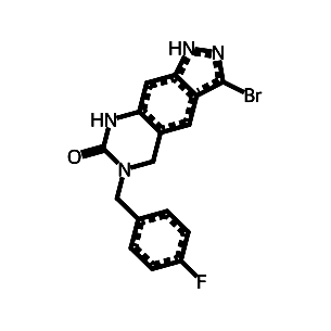 O=C1Nc2cc3[nH]nc(Br)c3cc2CN1Cc1ccc(F)cc1